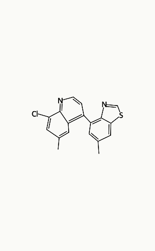 Cc1cc(-c2ccnc3c(Cl)cc(C)cc23)c2ncsc2c1